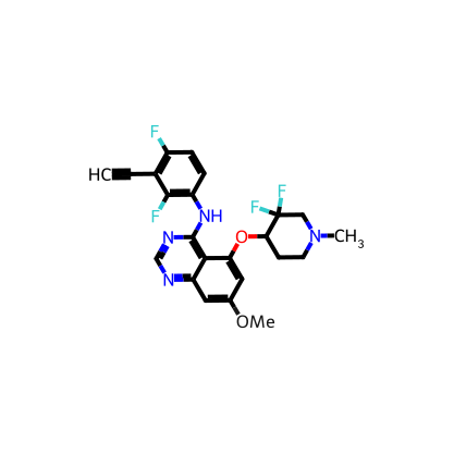 C#Cc1c(F)ccc(Nc2ncnc3cc(OC)cc(OC4CCN(C)CC4(F)F)c23)c1F